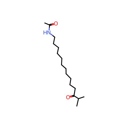 CC(=O)NCCCCCCCCCCCC(=O)C(C)C